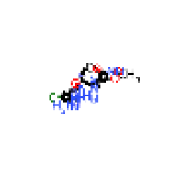 COC(=O)Nc1ccc2c(c1)OCCC/C=C\C[C@H](NC(=O)/C=C/c1cc(Cl)ccc1N(N)/C=N\N)c1nc-2c[nH]1